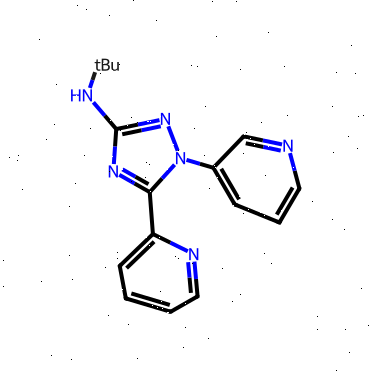 CC(C)(C)Nc1nc(-c2ccccn2)n(-c2cccnc2)n1